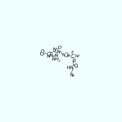 CN(C)CCNC(=O)COc1cc(N2CCN(CCn3c(=O)n(C)c4c3nc(N)n3nc(-c5ccco5)cc43)CC2)c(F)cc1F